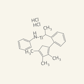 CC1=C(C)C(C)=C(c2ccccc2[CH](C)[Ti][NH]c2ccccc2)C1.Cl.Cl